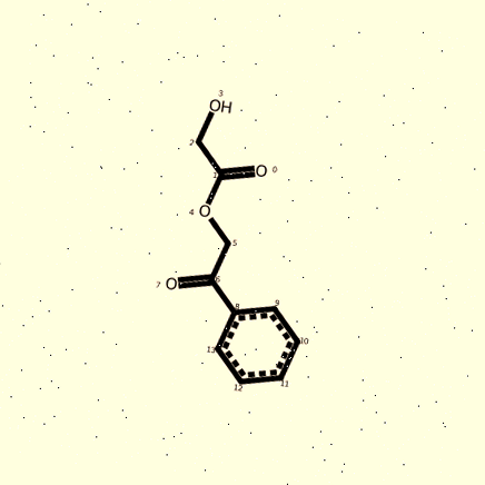 O=C(CO)OCC(=O)c1ccccc1